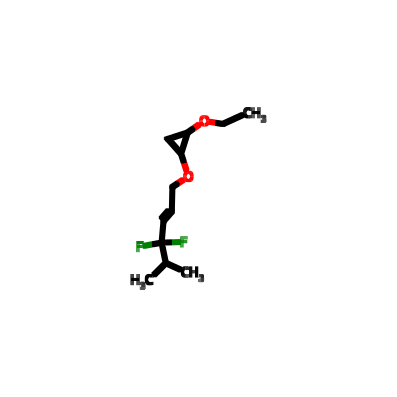 CCOC1CC1OC/C=C/C(F)(F)C(C)C